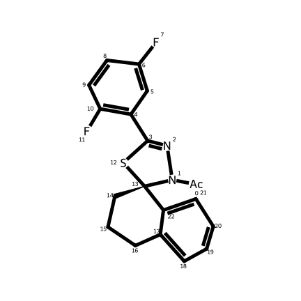 CC(=O)N1N=C(c2cc(F)ccc2F)S[C@]12CCCc1ccccc12